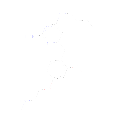 CCC[C@@H](C)Nc1cc(Cc2ccc(OCCNC)cc2OC)nc(N)n1